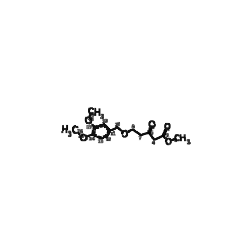 COC(=O)CC(=O)CCOCc1ccc(OC)c(OC)c1